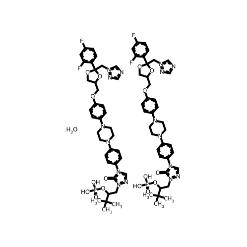 CC(C)(C)C(Cn1ncn(-c2ccc(N3CCN(c4ccc(OCC5COC(Cn6cncn6)(c6ccc(F)cc6F)O5)cc4)CC3)cc2)c1=O)OP(=O)(O)O.CC(C)(C)C(Cn1ncn(-c2ccc(N3CCN(c4ccc(OCC5COC(Cn6cncn6)(c6ccc(F)cc6F)O5)cc4)CC3)cc2)c1=O)OP(=O)(O)O.O